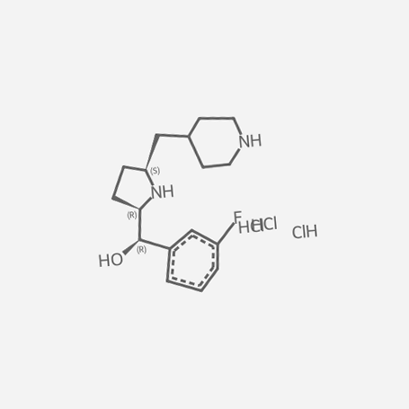 Cl.Cl.Cl.O[C@H](c1cccc(F)c1)[C@H]1CC[C@@H](CC2CCNCC2)N1